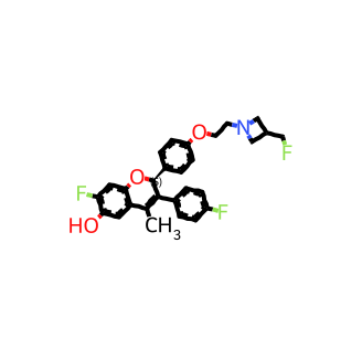 CC1=C(c2ccc(F)cc2)[C@H](c2ccc(OCCN3CC(CF)C3)cc2)Oc2cc(F)c(O)cc21